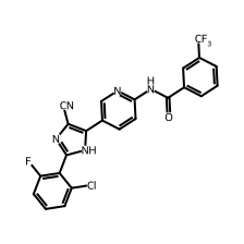 N#Cc1nc(-c2c(F)cccc2Cl)[nH]c1-c1ccc(NC(=O)c2cccc(C(F)(F)F)c2)nc1